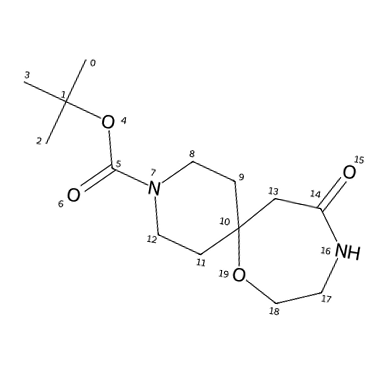 CC(C)(C)OC(=O)N1CCC2(CC1)CC(=O)NCCO2